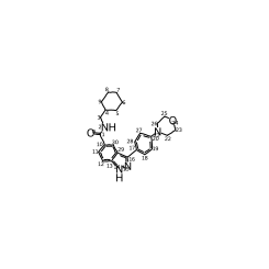 O=C(NCC1CCCCC1)c1ccc2[nH]nc(-c3ccc(N4CCOCC4)cc3)c2c1